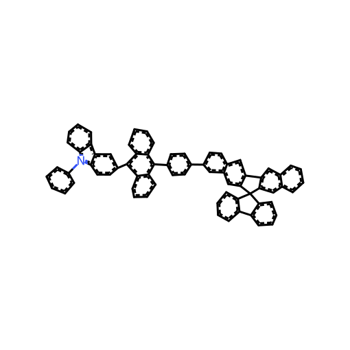 c1ccc(-n2c3ccccc3c3cc(-c4c5ccccc5c(-c5ccc(-c6ccc7cc8c(cc7c6)C6(c7ccccc7-c7ccccc76)c6cc7ccccc7cc6-8)cc5)c5ccccc45)ccc32)cc1